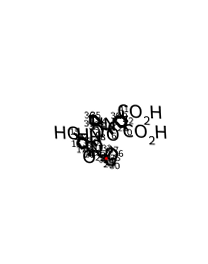 O=C(O)c1cc(NC(=O)C(CNC(=O)c2cc(O)ccc2C(=O)NCC23CC4CC(CC(C4)C2)C3)c2ccccc2)cc(C(=O)O)c1